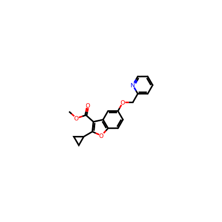 COC(=O)c1c(C2CC2)oc2ccc(OCc3ccccn3)cc12